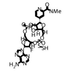 CNC(=O)c1cc([C@@H]2O[C@@H]3COP(=O)(SS)O[C@H]4[C@@H](F)[C@H](n5cnc6c(N)ncnc65)O[C@@H]4CO[PH](=O)O[C@@H]2[C@@H]3O)ccn1